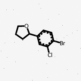 Clc1cc(C2[CH]CCO2)ccc1Br